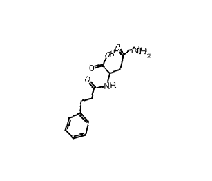 NC(=O)CC(NC(=O)CCc1ccccc1)C(=O)O